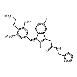 COc1cc(/C=C2/C(C)=C(CC(=O)NCc3ccco3)c3cc(F)ccc32)cc(OC)c1OCC(=O)O